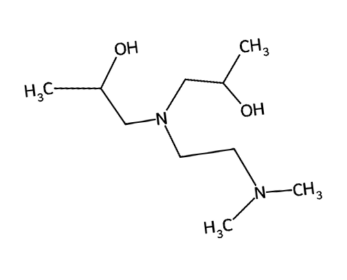 CC(O)CN(CCN(C)C)CC(C)O